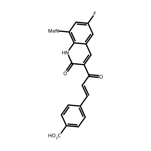 CNc1cc(F)cc2cc(C(=O)C=Cc3ccc(C(=O)O)cc3)c(=O)[nH]c12